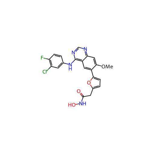 COc1cc2ncnc(Nc3ccc(F)c(Cl)c3)c2cc1-c1ccc(CC(=O)NO)o1